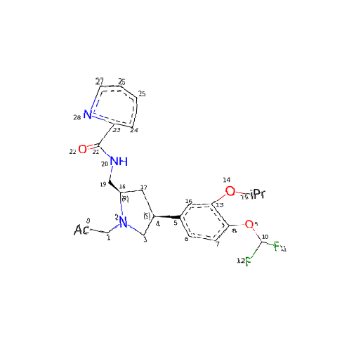 CC(=O)CN1C[C@H](c2ccc(OC(F)F)c(OC(C)C)c2)C[C@@H]1CNC(=O)c1ccccn1